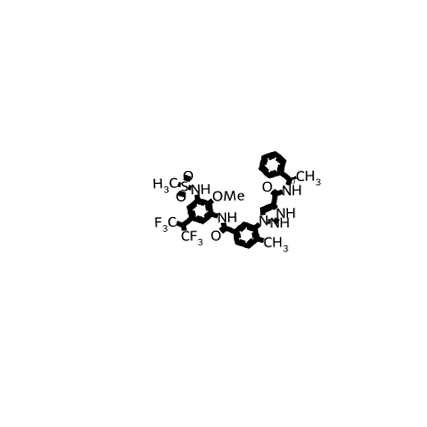 COc1c(NC(=O)c2ccc(C)c(N3C=C(C(=O)N[C@H](C)c4ccccc4)NN3)c2)cc(C(C(F)(F)F)C(F)(F)F)cc1NS(C)(=O)=O